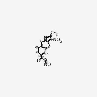 Cc1c([N+](=O)[O-])c(C(F)(F)F)nn1Cc1ccc(C(=O)ON=O)cn1